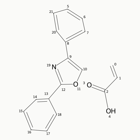 C=CC(=O)O.c1ccc(-c2coc(-c3ccccc3)n2)cc1